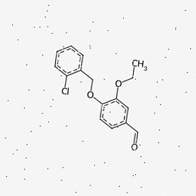 CCOc1cc(C=O)ccc1OCc1ccccc1Cl